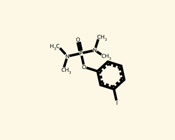 CN(C)P(=O)(Oc1cccc(I)c1)N(C)C